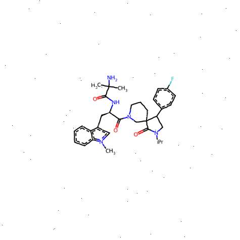 CC(C)N1CC(c2ccc(F)cc2)C2(CCCN(C(=O)[C@@H](Cc3cn(C)c4ccccc34)NC(=O)C(C)(C)N)C2)C1=O